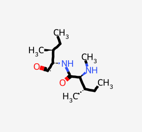 CC[C@H](C)[C@H](NC)C(=O)N[C@H]([C]=O)[C@@H](C)CC